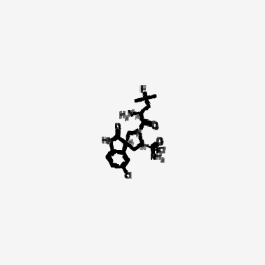 CC(C)(F)C[C@H](N)C(=O)N1C[C@]2(C[C@H]1C(N)=O)C(=O)Nc1ccc(Cl)cc12.Cl